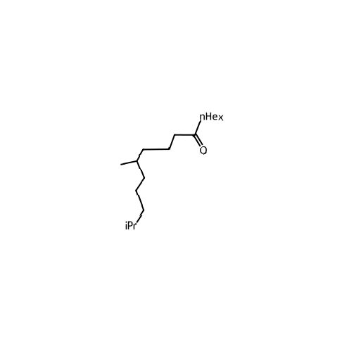 CCCCCCC(=O)CCCC(C)CCCC(C)C